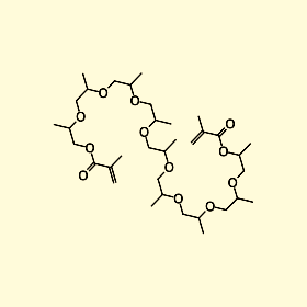 C=C(C)C(=O)OCC(C)OCC(C)OCC(C)OCC(C)OCC(C)OCC(C)OCC(C)OCC(C)OCC(C)OC(=O)C(=C)C